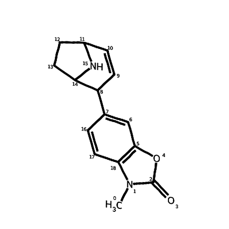 Cn1c(=O)oc2cc(C3C=CC4CCC3N4)ccc21